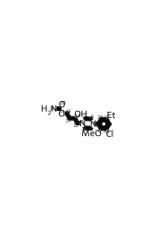 CCc1cc(Cl)c(OC)c(N2CCN(CC(O)CCOC(N)=O)CC2)c1